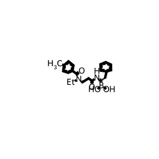 CCN(CCC(=O)N[C@@H](Cc1ccccc1)B(O)O)C(=O)c1ccc(C)cc1